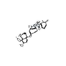 COc1ccc2c(Oc3ccc(NS(=O)(=O)c4cccc(F)c4C)c(F)c3)ccnc2c1OC